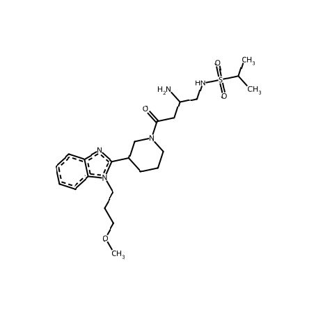 COCCCn1c(C2CCCN(C(=O)CC(N)CNS(=O)(=O)C(C)C)C2)nc2ccccc21